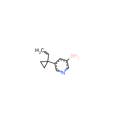 Bc1cncc(C2(C=C)CC2)c1